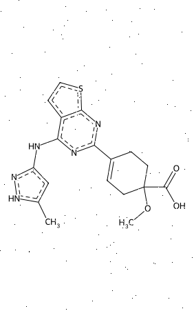 COC1(C(=O)O)CC=C(c2nc(Nc3cc(C)[nH]n3)c3ccsc3n2)CC1